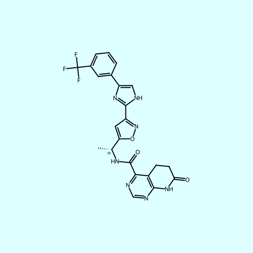 C[C@@H](NC(=O)c1ncnc2c1CCC(=O)N2)c1cc(-c2nc(-c3cccc(C(F)(F)F)c3)c[nH]2)no1